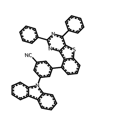 N#Cc1cc(-c2cccc3sc4c(-c5ccccc5)nc(-c5ccccc5)nc4c23)cc(-n2c3ccccc3c3ccccc32)c1